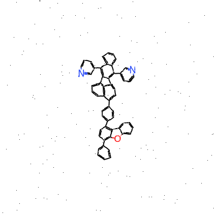 c1ccc(-c2ccc(-c3ccc(-c4ccc5c6c(cccc46)-c4c-5c(-c5cccnc5)c5ccccc5c4-c4cccnc4)cc3)c3c2oc2ccccc23)cc1